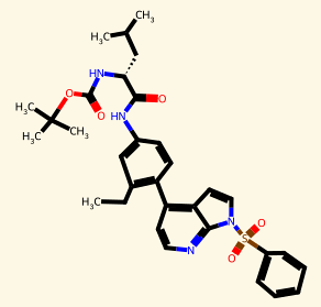 CCc1cc(NC(=O)[C@@H](CC(C)C)NC(=O)OC(C)(C)C)ccc1-c1ccnc2c1ccn2S(=O)(=O)c1ccccc1